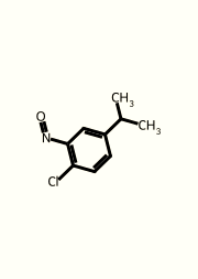 CC(C)c1ccc(Cl)c(N=O)c1